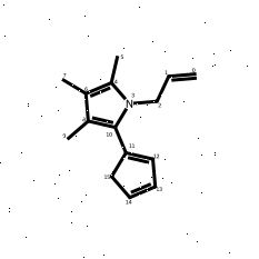 C=CCn1c(C)c(C)c(C)c1C1=CC=CC1